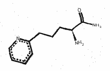 NC(=O)[C@@H](N)CCCc1ccccn1